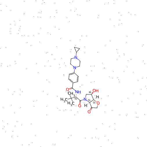 CC(C)(C)[C@H](NC(=O)c1ccc(N2CCN(C3CC3)CC2)cc1)C(=O)N1C[C@@H](O)[C@H]2OCC(=O)[C@H]21